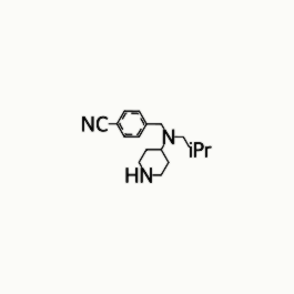 CC(C)CN(Cc1ccc(C#N)cc1)C1CCNCC1